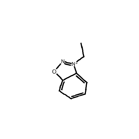 CC[n+]1noc2ccccc21